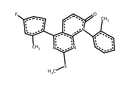 CSc1nc(-c2ccc(F)cc2C)c2ccc(=O)n(-c3ccccc3C)c2n1